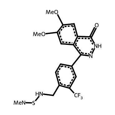 CNSNCc1ccc(-c2n[nH]c(=O)c3cc(OC)c(OC)cc23)cc1C(F)(F)F